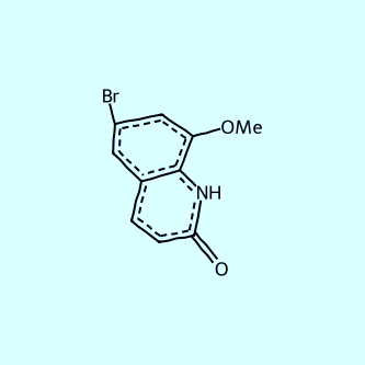 COc1cc(Br)cc2ccc(=O)[nH]c12